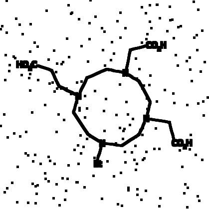 CCN1CCN(CCC(=O)O)CCN(CC(=O)O)CCN(CC(=O)O)CC1